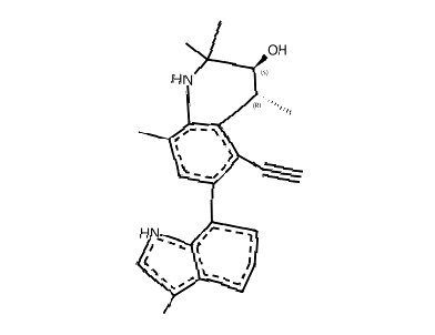 C#Cc1c(-c2cccc3c(C)c[nH]c23)cc(C)c2c1[C@@H](C)[C@H](O)C(C)(C)N2